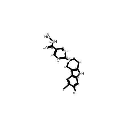 Cc1cc2c3c([nH]c2cc1I)CCN(c1ncc(C(=O)NO)cn1)C3